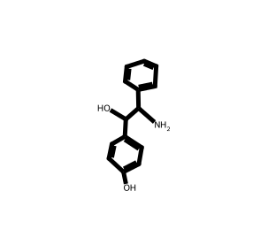 NC(c1ccccc1)C(O)c1ccc(O)cc1